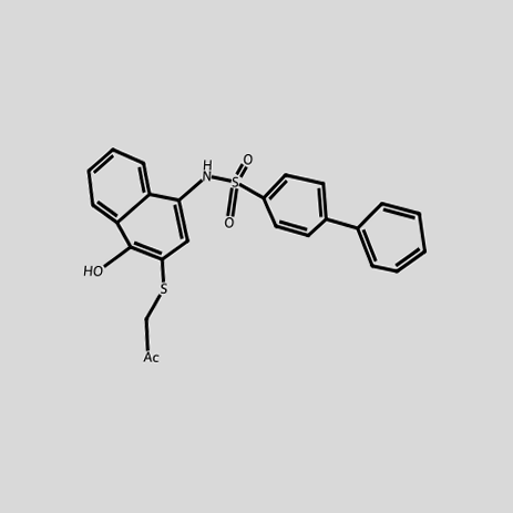 CC(=O)CSc1cc(NS(=O)(=O)c2ccc(-c3ccccc3)cc2)c2ccccc2c1O